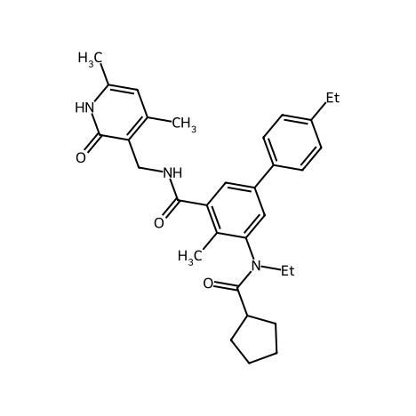 CCc1ccc(-c2cc(C(=O)NCc3c(C)cc(C)[nH]c3=O)c(C)c(N(CC)C(=O)C3CCCC3)c2)cc1